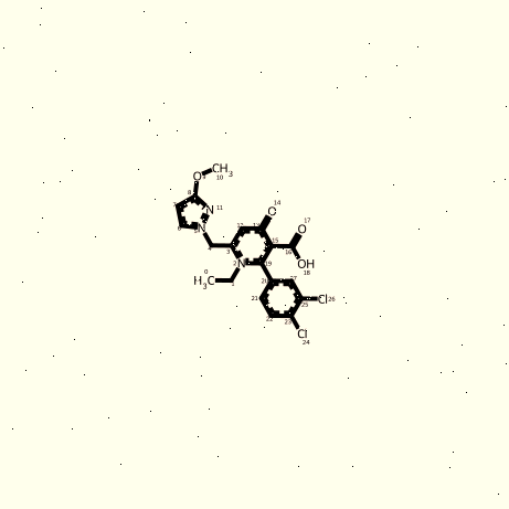 CCn1c(Cn2ccc(OC)n2)cc(=O)c(C(=O)O)c1-c1ccc(Cl)c(Cl)c1